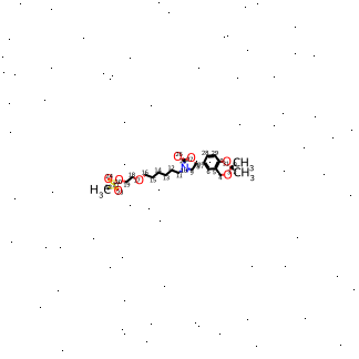 CC1(C)OCc2cc([C@@H]3CN(CCCCCCOCCOS(C)(=O)=O)C(=O)O3)ccc2O1